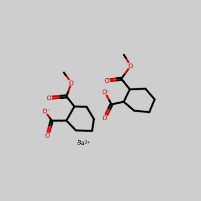 COC(=O)C1CCCCC1C(=O)[O-].COC(=O)C1CCCCC1C(=O)[O-].[Ba+2]